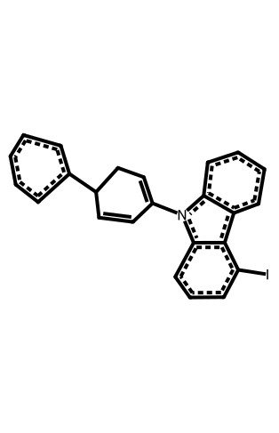 Ic1cccc2c1c1ccccc1n2C1=CCC(c2ccccc2)C=C1